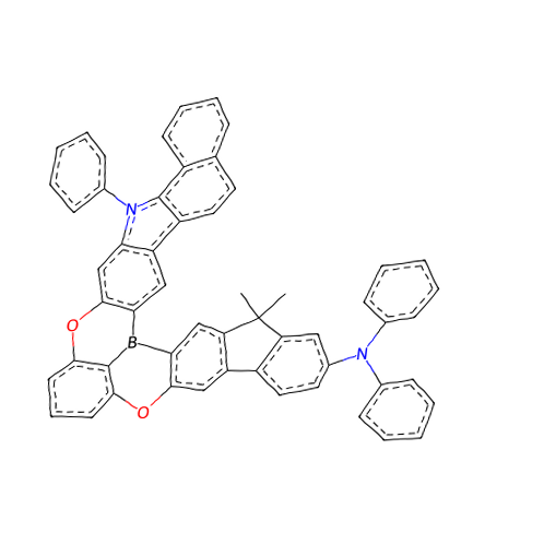 CC1(C)c2cc(N(c3ccccc3)c3ccccc3)ccc2-c2cc3c(cc21)B1c2cc4c5ccc6ccccc6c5n(-c5ccccc5)c4cc2Oc2cccc(c21)O3